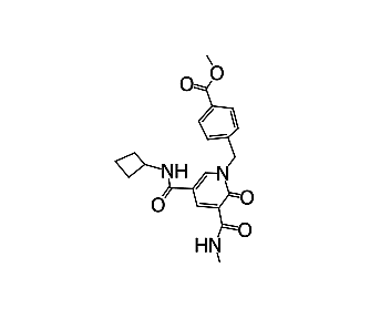 CNC(=O)c1cc(C(=O)NC2CCC2)cn(Cc2ccc(C(=O)OC)cc2)c1=O